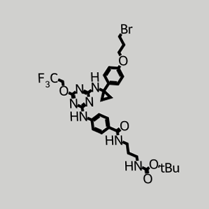 CC(C)(C)OC(=O)NCCCNC(=O)c1ccc(Nc2nc(NC3(c4ccc(OCCCBr)cc4)CC3)nc(OCC(F)(F)F)n2)cc1